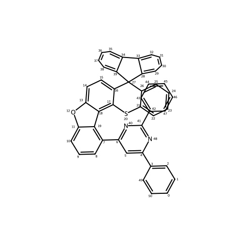 c1ccc(-c2cc(-c3cccc4oc5ccc6c(c5c34)Sc3ccccc3C63c4ccccc4-c4ccccc43)nc(-c3ccccc3)n2)cc1